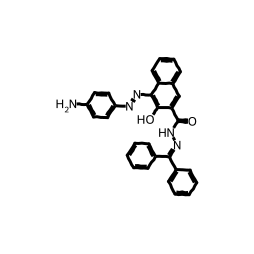 Nc1ccc(N=Nc2c(O)c(C(=O)NN=C(c3ccccc3)c3ccccc3)cc3ccccc23)cc1